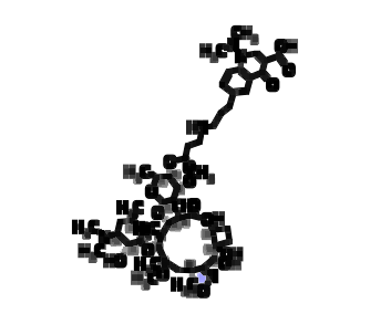 CO[C@@H]1C[C@H](O[C@H]2[C@H](C)[C@@H](O[C@@H]3O[C@H](C)C[C@H](N(C)C)[C@H]3O)[C@](C)(OC)C[C@@H](C)/C(=N\O)[C@@H](O)[C@@]3(O)CC[C@H]3OC(=O)[C@@H]2C)O[C@@H](C)[C@@H]1OC(=O)CCNCCCc1ccc2c(c1)c(=O)c(C(=O)O)cn2N(C)C